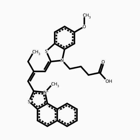 CCC(=Cc1sc2ccc3ccccc3c2[n+]1C)C=C1Sc2ccc(OC)cc2N1CCCC(=O)O